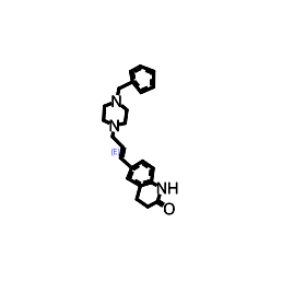 O=C1CCc2cc(/C=C/CN3CCN(Cc4ccccc4)CC3)ccc2N1